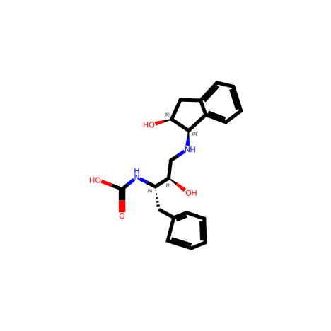 O=C(O)N[C@@H](Cc1ccccc1)[C@H](O)CN[C@@H]1c2ccccc2C[C@@H]1O